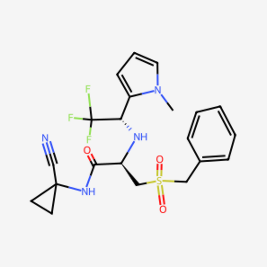 Cn1cccc1[C@H](N[C@@H](CS(=O)(=O)Cc1ccccc1)C(=O)NC1(C#N)CC1)C(F)(F)F